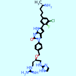 C[C@H](N)CCCc1cc(Cl)c(F)c(-c2cc3cn(-c4ccc(CO[C@H](CCNC(=N)N)CNc5ncc[nH]5)cc4)c(=O)nc3[nH]2)c1